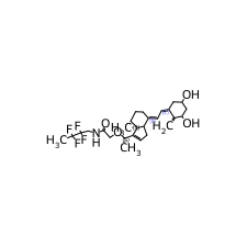 C=C1/C(=C\C=C2/CCC[C@]3(C)C([C@H](C)OCC(=O)NCC(F)(F)C(C)(F)F)=CCC23)CC(O)CC1O